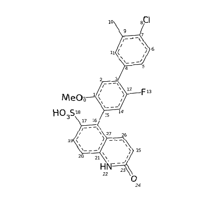 COc1cc(-c2ccc(Cl)c(C)c2)c(F)cc1-c1c(S(=O)(=O)O)ccc2[nH]c(=O)ccc12